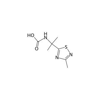 Cc1nsc(C(C)(C)NC(=O)O)n1